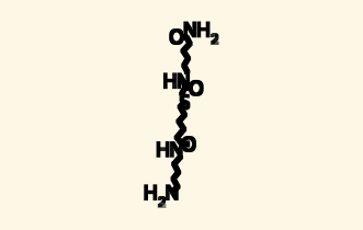 NCCCCCNC(=O)CCCCCSCC(=O)NCCCCCC(N)=O